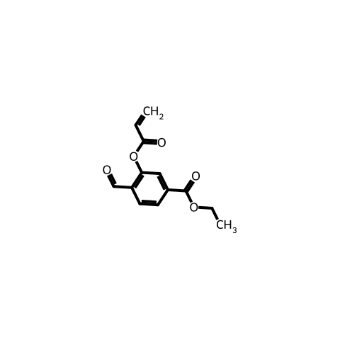 C=CC(=O)Oc1cc(C(=O)OCC)ccc1C=O